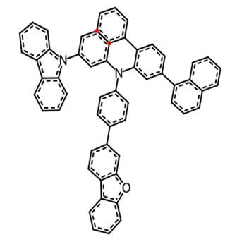 c1ccc(-c2ccc(-c3cccc4ccccc34)cc2N(c2ccc(-c3ccc4c(c3)oc3ccccc34)cc2)c2cccc(-n3c4ccccc4c4ccccc43)c2)cc1